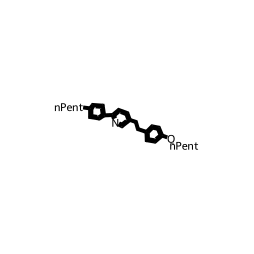 CCCCCOc1ccc(CCc2ccc(-c3ccc(CCCCC)cc3)nc2)cc1